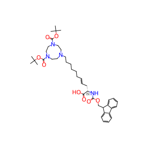 CC(C)(C)OC(=O)N1CCN(CCCCCCC=CC[C@H](NC(=O)OCC2c3ccccc3-c3ccccc32)C(=O)O)CCN(C(=O)OC(C)(C)C)CC1